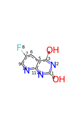 Oc1nc(O)c2cc(F)cnc2n1